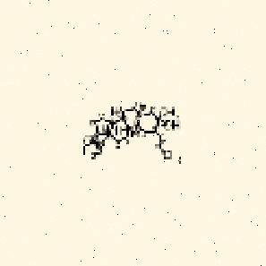 CCO[C@H]1C[C@H]2[C@@H](CC[C@@H]3[C@@H]2CC[C@]2(C)[C@@H](C(C)=O)CC[C@@H]32)C[C@]1(C)O